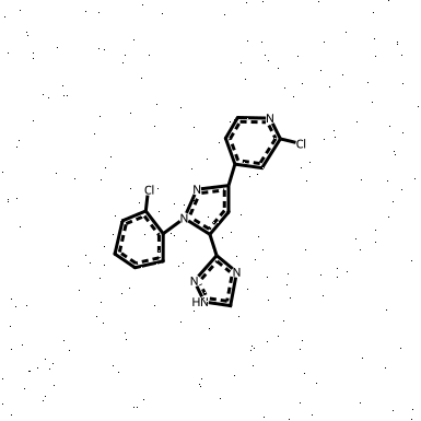 Clc1cc(-c2cc(-c3nc[nH]n3)n(-c3ccccc3Cl)n2)ccn1